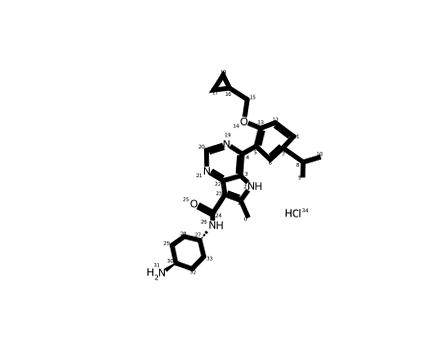 Cc1[nH]c2c(-c3cc(C(C)C)ccc3OCC3CC3)ncnc2c1C(=O)N[C@H]1CC[C@H](N)CC1.Cl